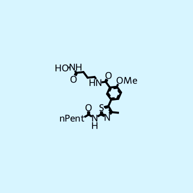 CCCCCC(=O)Nc1nc(C)c(-c2ccc(OC)c(C(=O)NCCCC(=O)NO)c2)s1